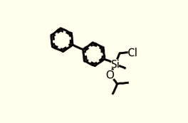 CC(C)O[Si](C)(CCl)c1ccc(-c2ccccc2)cc1